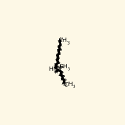 CCCCCCCCCCCCc1[nH]cc(CCCCCCC)[n+]1C